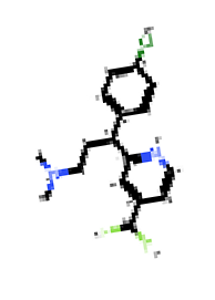 CN(C)CCC(c1ccc(Cl)cc1)c1cc(C(F)F)ccn1